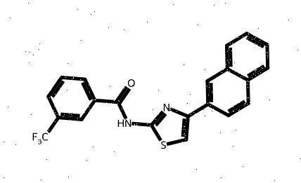 O=C(Nc1nc(-c2ccc3ccccc3c2)cs1)c1cccc(C(F)(F)F)c1